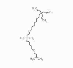 C=CCC(CC=C)(CC=C)CCCCCCCCOCCC(C)(C)OCCCCOCCC(C)C